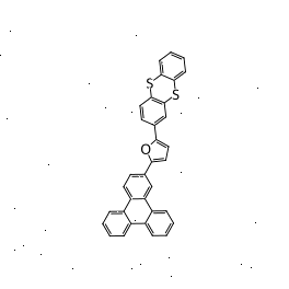 c1ccc2c(c1)Sc1ccc(-c3ccc(-c4ccc5c6ccccc6c6ccccc6c5c4)o3)cc1S2